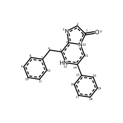 O=c1cnc2c(Cc3ccccc3)[nH]c(-c3ccccc3)cn1-2